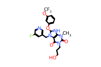 Cn1c2c(c(=O)n(CCCO)c1=O)N(Cc1cncc(F)c1)C(Oc1cccc(OC(F)(F)F)c1)N2